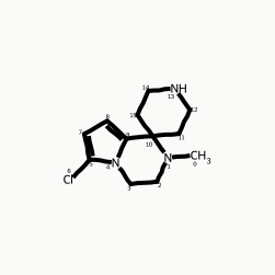 CN1CCn2c(Cl)ccc2C12CCNCC2